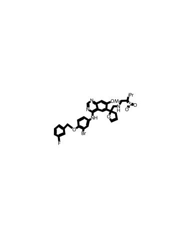 COc1cc2ncnc(Nc3ccc(OCc4cccc(F)c4)c(Br)c3)c2cc1C1(CNCC(C(C)C)=S(=O)=O)CC=CO1